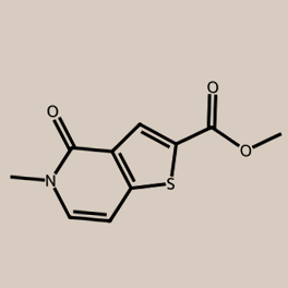 COC(=O)c1cc2c(=O)n(C)ccc2s1